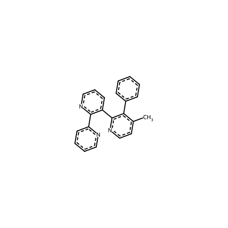 Cc1ccnc(-c2cccnc2-c2ccccn2)c1-c1ccccc1